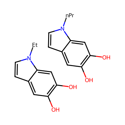 CCCn1ccc2cc(O)c(O)cc21.CCn1ccc2cc(O)c(O)cc21